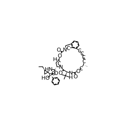 CC[C@@H]1C[C@]1(NC(=O)[C@@H]1C[C@@H]2CN1C(=O)[C@H](C(C)(C)C)NC(=O)OC[C@@H](C)CCCCc1cccc3c1CN(C3)C(=O)O2)P(=O)(O)c1ccccc1